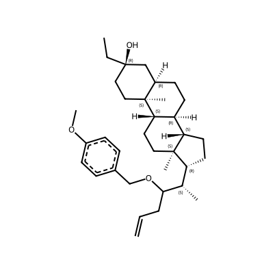 C=CCC(OCc1ccc(OC)cc1)[C@@H](C)[C@H]1CC[C@H]2[C@@H]3CC[C@@H]4C[C@@](O)(CC)CC[C@]4(C)[C@H]3CC[C@]12C